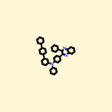 c1ccc(-c2ccc(-c3cccc(N(c4ccccc4)c4ccc(-c5nc6ccccc6nc5-c5ccccc5)cc4)c3)cc2)cc1